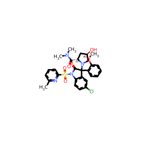 COc1ccccc1C1(N2C[C@H](O)C[C@H]2C(=O)N(C)C)C(=O)N(S(=O)(=O)c2cccc(C)n2)c2ccc(Cl)cc21